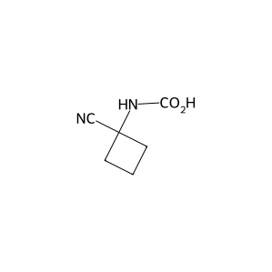 N#CC1(NC(=O)O)CCC1